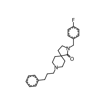 O=C1N(Cc2ccc(F)cc2)CCC12CCN(CCCc1ccccc1)CC2